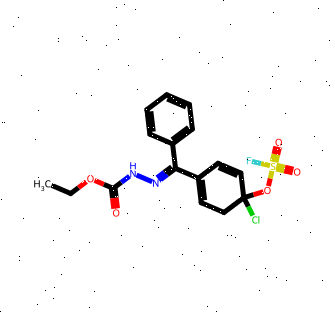 CCOC(=O)NN=C(C1=CCC(Cl)(OS(=O)(=O)F)C=C1)c1ccccc1